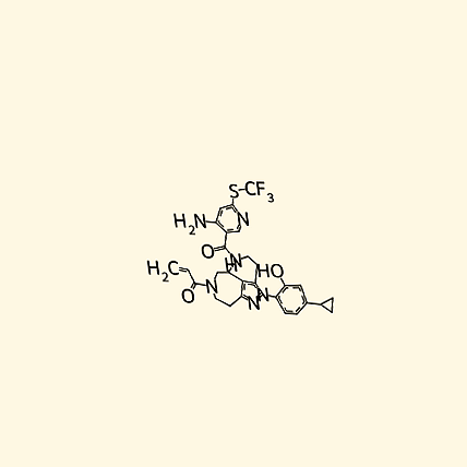 C=CC(=O)N1CCc2nn(-c3ccc(C4CC4)cc3O)c3c2[C@H](C1)N(C(=O)c1cnc(SC(F)(F)F)cc1N)CC3